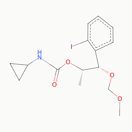 COCO[C@@H](c1ccccc1I)[C@H](C)OC(=O)NC1CC1